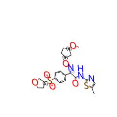 CO[C@@H]1CC[C@@H](O/N=C(/C(=O)Nc2ncc(C)s2)c2ccc(S(=O)(=O)[C@H]3CCOC3)cc2)C1